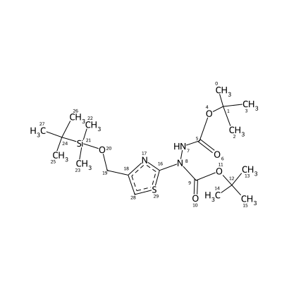 CC(C)(C)OC(=O)NN(C(=O)OC(C)(C)C)c1nc(CO[Si](C)(C)C(C)(C)C)cs1